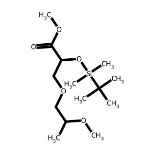 COC(=O)C(COCC(C)OC)O[Si](C)(C)C(C)(C)C